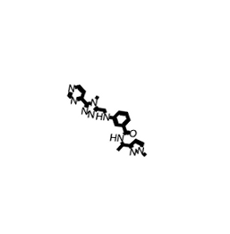 CC(NC(=O)c1cccc(NCc2nnc(-c3ccncn3)n2C)c1)c1ccn(C)n1